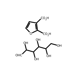 O=C(O)c1ccoc1C(=O)O.O=CC(O)C(O)C(O)C(O)CO